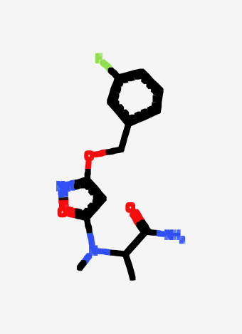 CC(C(N)=O)N(C)c1cc(OCc2cccc(F)c2)no1